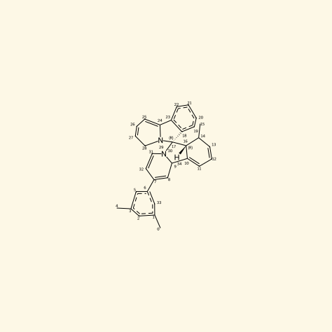 Cc1cc(C)cc(C2=CC3C4=CC=CC(C)[C@H]4[C@@]4(c5ccccc5C5=CC=CCN54)N3C=C2)c1